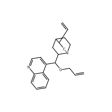 C=CCOC(c1ccnc2ccccc12)C1CC2CCN1CC2C=C